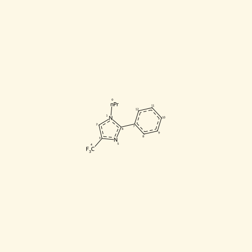 CCCn1cc(C(F)(F)F)nc1-c1ccccc1